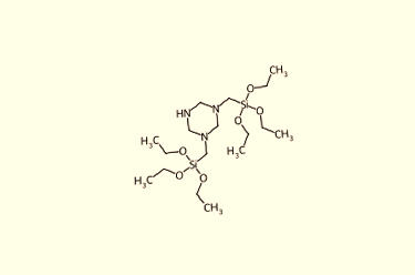 CCO[Si](CN1CNCN(C[Si](OCC)(OCC)OCC)C1)(OCC)OCC